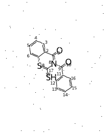 O=C(c1ccccc1)N(C(=O)c1ccccc1)C(=S)S